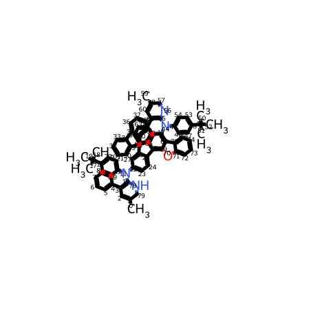 CC1=CC(c2ccccc2)=C(N(c2ccc(C(C)(C)C)cc2)c2ccc3c(c2)C2(c4ccccc4-c4ccccc42)c2cc(N(c4ccc(C(C)(C)C)cc4)c4ncc(C)cc4-c4ccccc4)c4c(oc5ccccc54)c2-3)NC1